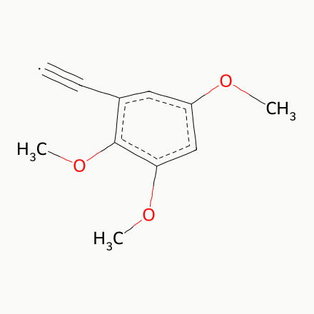 [C]#Cc1cc(OC)cc(OC)c1OC